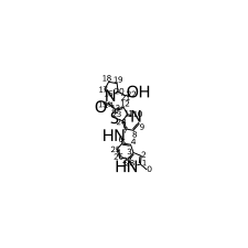 Cc1cc2cc(Nc3ccnc4cc(C(=O)N5CCCC5CO)sc34)ccc2[nH]1